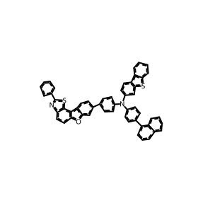 c1ccc(-c2nc3ccc4oc5cc(-c6ccc(N(c7ccc(-c8cccc9ccccc89)cc7)c7ccc8c(c7)sc7ccccc78)cc6)ccc5c4c3s2)cc1